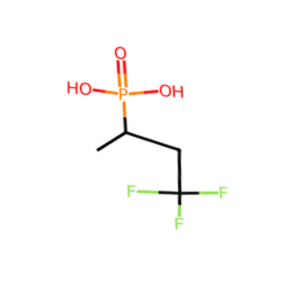 CC(CC(F)(F)F)P(=O)(O)O